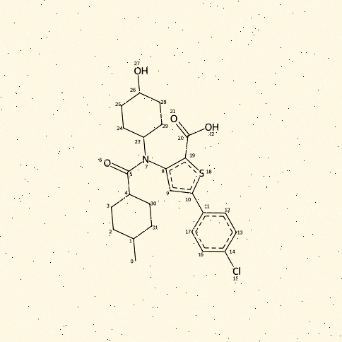 CC1CCC(C(=O)N(c2cc(-c3ccc(Cl)cc3)sc2C(=O)O)C2CCC(O)CC2)CC1